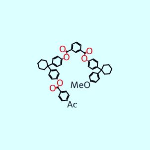 COc1ccc(C2(c3ccc(OC(=O)c4cccc(C(=O)Oc5ccc(C6(c7ccc(OC(=O)c8ccc(C(C)=O)cc8)cc7)CCCCC6)cc5)c4)cc3)CCCCC2)cc1